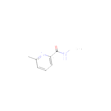 CCCCCCNC(=O)c1cccc(C)n1